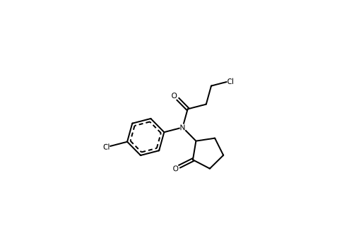 O=C1CCCC1N(C(=O)CCCl)c1ccc(Cl)cc1